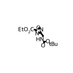 CCOC(=O)c1nc(CNC(=O)OC(C)(C)C)no1